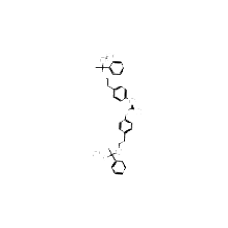 CCOC(C)(OCCc1ccc(OC(=O)Oc2ccc(CCOC(C)(OCC)c3ccccc3)cc2)cc1)c1ccccc1